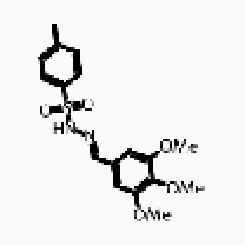 COc1cc(/C=N/NS(=O)(=O)c2ccc(C)cc2)cc(OC)c1OC